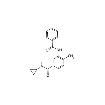 Cc1ccc(C(=O)NC2CC2)cc1NC(=O)c1ccccc1